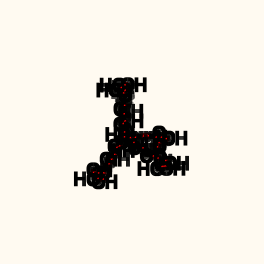 C[C@H]1C(O)[C@@H](O)C(CO)O[C@H]1OCCCCC(=O)NCCCNC(=O)CCOCC(COCCCCCCCCCCC(=O)N1C[C@H](O)C[C@H]1COC(C)(C)C)(COCCC(=O)NCCCNC(=O)CCCCO[C@@H]1OC(CO)[C@H](O)C(O)[C@@H]1C)NC(=O)CCC(=O)NCCCNC(=O)CCCCO[C@@H]1OC(CO)[C@H](O)C(O)[C@@H]1C